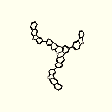 c1ccc2cc3c(cc2c1)oc1ccc(-c2ccc4cc5c6cc(-c7ccc8oc9ccccc9c8c7)cc7c8cc9ccc(-c%10ccc%11oc%12cc%13ccccc%13cc%12c%11c%10)cc9cc8n(c5cc4c2)c67)cc13